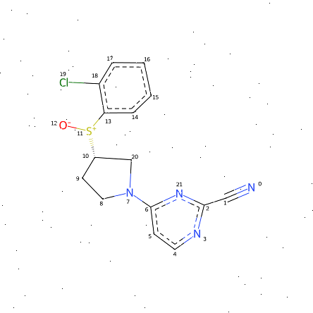 N#Cc1nccc(N2CC[C@H]([S+]([O-])c3ccccc3Cl)C2)n1